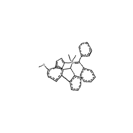 COc1ccc2c(c1)[CH]([Zr]([CH3])([CH3])([C]1=CC=CC1)=[C](c1ccccc1)c1ccccc1)c1ccccc1-2